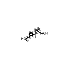 C#CCOc1nc(Nc2cccc(CCC(=O)O)c2)ncc1Br